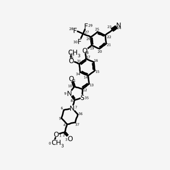 COC(=O)C1CCN(C2=NC(=O)/C(=C\c3ccc(Oc4ccc(C#N)cc4C(F)(F)F)c(OC)c3)S2)CC1